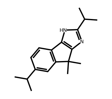 CC(C)c1ccc2c(c1)C(C)(C)c1nc(C(C)C)[nH]c1-2